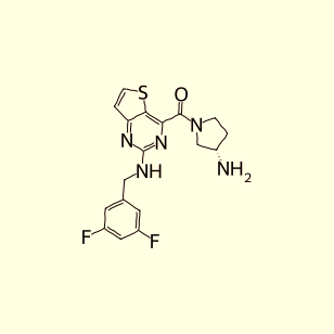 N[C@H]1CCN(C(=O)c2nc(NCc3cc(F)cc(F)c3)nc3ccsc23)C1